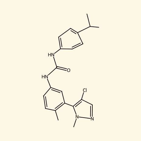 Cc1ccc(NC(=O)Nc2ccc(C(C)C)cc2)cc1-c1c(Cl)cnn1C